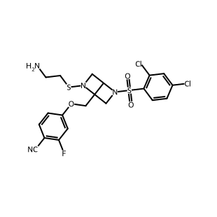 N#Cc1ccc(OCC23CN(S(=O)(=O)c4ccc(Cl)cc4Cl)C2CN3SCCN)cc1F